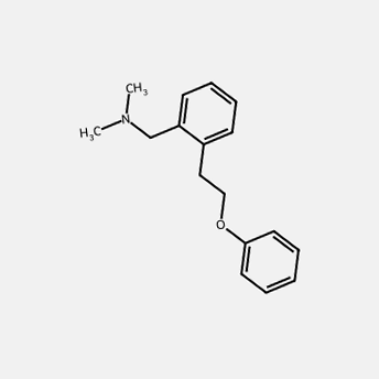 CN(C)Cc1ccccc1CCOc1ccccc1